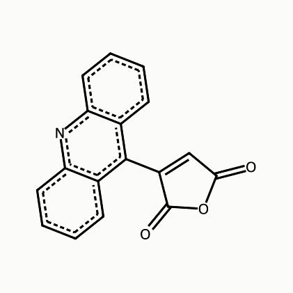 O=C1C=C(c2c3ccccc3nc3ccccc23)C(=O)O1